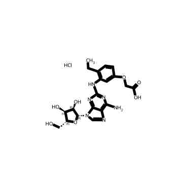 CCc1ccc(OCC(=O)O)cc1Nc1nc(N)c2ncn([C@@H]3O[C@H](CO)[C@@H](O)[C@H]3O)c2n1.Cl